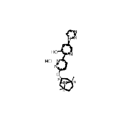 C[C@]12CC[C@](C)(C[C@H](Oc3ccc(-c4ncc(-n5ccnn5)cc4O)nn3)C1)N2.Cl